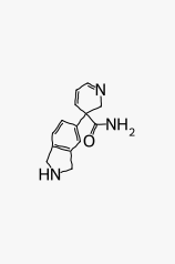 NC(=O)C1(c2ccc3c(c2)CNC3)C=CC=NC1